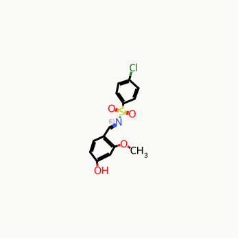 COc1cc(O)ccc1/C=N/S(=O)(=O)c1ccc(Cl)cc1